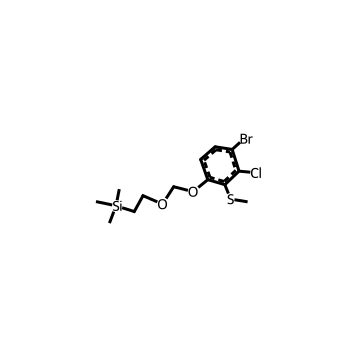 CSc1c(OCOCC[Si](C)(C)C)ccc(Br)c1Cl